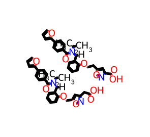 [2H]C(c1ccccc1OCCc1cc(C(=O)O)no1)N(C(=O)c1ccc(-c2ccco2)cc1)C(C)C.[2H]C(c1ccccc1OCc1cc(CC(=O)O)no1)N(C(=O)c1ccc(-c2ccco2)cc1)C(C)C